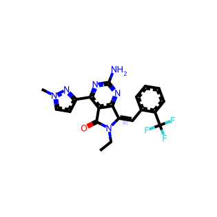 CCN1C(=O)c2c(nc(N)nc2-c2ccn(C)n2)/C1=C\c1ccccc1C(F)(F)F